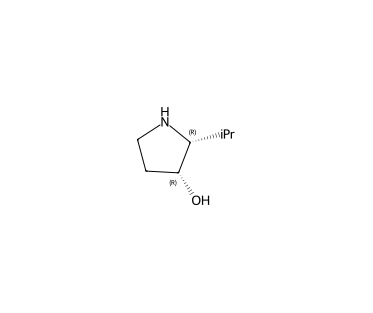 CC(C)[C@H]1NCC[C@H]1O